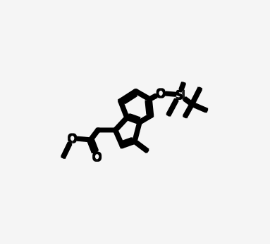 COC(=O)CC1C=C(C)c2cc(O[Si](C)(C)C(C)(C)C)ccc21